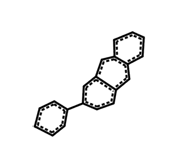 [c]1ccc(-c2ccc3cc4ccccc4cc3c2)cc1